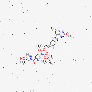 COc1cnc2c(-c3nc4cc(F)c(OC[C@@H](C)OC(=O)N(C(=O)OC(C)(C)C)c5ccc(C(=O)NCC(C)(C)O)nc5)cc4s3)cc(C)cc2n1